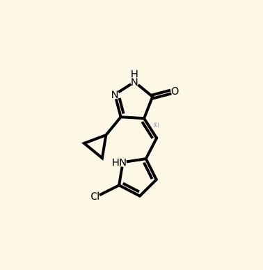 O=C1NN=C(C2CC2)/C1=C\c1ccc(Cl)[nH]1